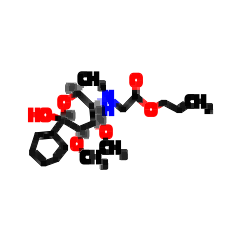 C=CCOC(=O)CN[C@@H]1[C@H](OC)[C@H](OC)[C@](O)(c2ccccc2)O[C@@H]1C